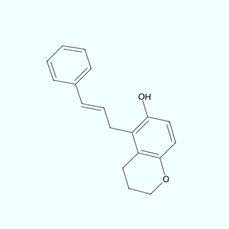 Oc1ccc2c(c1CC=Cc1ccccc1)CCCO2